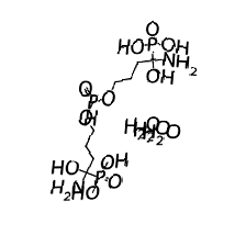 NC(O)(CCCO[PH](=O)OCCCC(N)(O)P(=O)(O)O)P(=O)(O)O.O.O.O